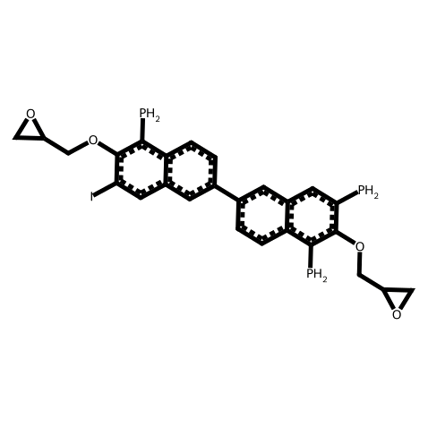 Pc1cc2cc(-c3ccc4c(P)c(OCC5CO5)c(I)cc4c3)ccc2c(P)c1OCC1CO1